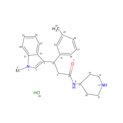 CCn1cc(C(CC(=O)NC2CCNCC2)c2cccc(C)c2)c2ccccc21.Cl